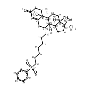 C[C@]12CCC(=O)C=C1C[C@@H](CCCCCCCS(=O)(=O)c1ccccc1)[C@@H]1[C@@H]2CC[C@@]2(C)[C@H]1CC[C@]2(C)O